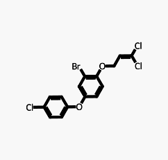 ClC(Cl)=CCOc1ccc(Oc2ccc(Cl)cc2)cc1Br